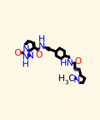 CN1CCCC1/C=C/C(=O)NCC1CCC(C#CNC(=O)c2cccn3c(=O)[nH]nc23)CC1